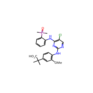 COc1cc(C(C)(C)C(=O)O)ccc1Nc1ncc(Cl)c(Nc2ccccc2P(C)(C)=O)n1